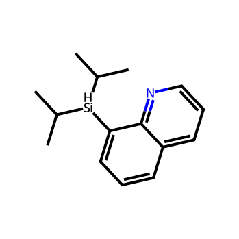 CC(C)[SiH](c1cccc2cccnc12)C(C)C